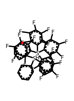 Fc1c(F)c(F)c([SH](c2c(F)c(F)c(F)c(F)c2F)(c2c(F)c(F)c(F)c(F)c2F)(c2c(F)c(F)c(F)c(F)c2F)S(c2ccccc2)(c2ccccc2)c2ccccc2)c(F)c1F